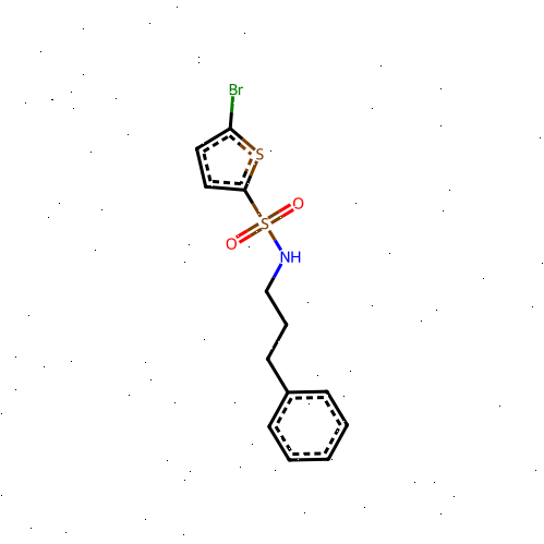 O=S(=O)(NCCCc1ccccc1)c1ccc(Br)s1